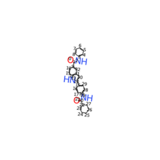 O=C(Nc1ccccc1)c1ccc2[nH]c(-c3ccc(NC(=O)C4CCCCC4)cc3)cc2c1